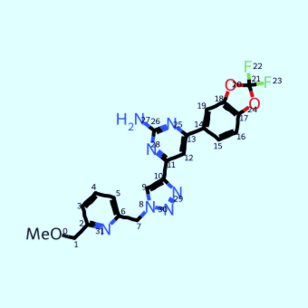 COCc1cccc(Cn2cc(-c3cc(-c4ccc5c(c4)OC(F)(F)O5)nc(N)n3)nn2)n1